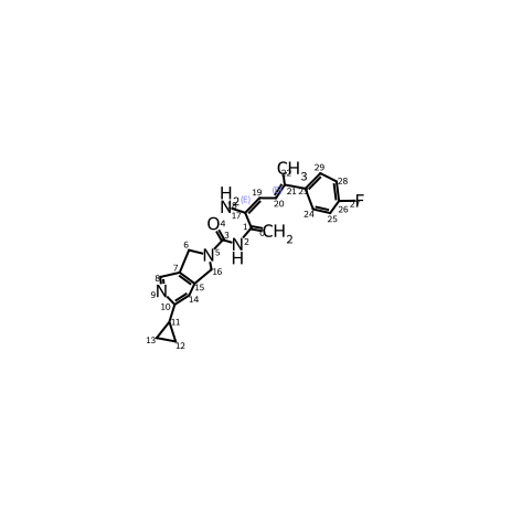 C=C(NC(=O)N1Cc2cnc(C3CC3)cc2C1)/C(N)=C\C=C(/C)c1ccc(F)cc1